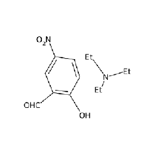 CCN(CC)CC.O=Cc1cc([N+](=O)[O-])ccc1O